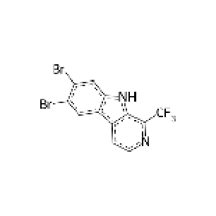 FC(F)(F)c1nccc2c1[nH]c1cc(Br)c(Br)cc12